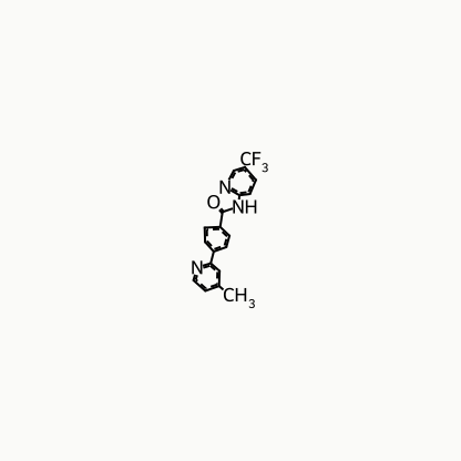 Cc1ccnc(-c2ccc(C(=O)Nc3ccc(C(F)(F)F)cn3)cc2)c1